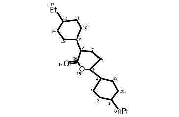 CCCC1CCC(C2CCC(C3CCC(CC)CC3)C(=O)O2)CC1